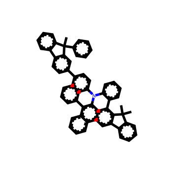 CC1(C)c2ccccc2-c2cccc(-c3ccccc3N(c3ccc(-c4ccc5c(c4)C(C)(c4ccccc4)c4ccccc4-5)cc3)c3ccc4ccccc4c3-c3ccccc3)c21